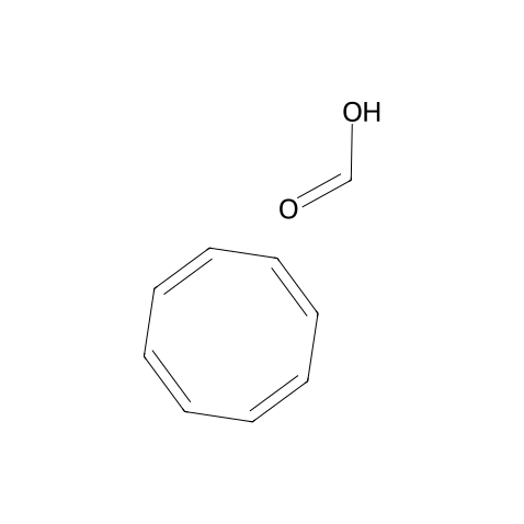 C1=CC=CC=CC=C1.O=CO